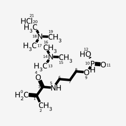 C=C(C)C(=O)NCCCO[PH](=O)O.CN(C)C.CN(C)C.Cl